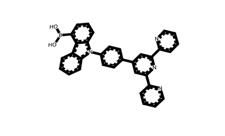 OB(O)c1cccc2c1c1ccccc1n2-c1ccc(-c2cc(-c3ccccn3)nc(-c3ccccn3)c2)cc1